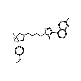 COc1ccc([C@]23C[C@H]2CN(CCCSc2nnc(-c4cccc5nc(C)ccc45)n2C)C3)cc1